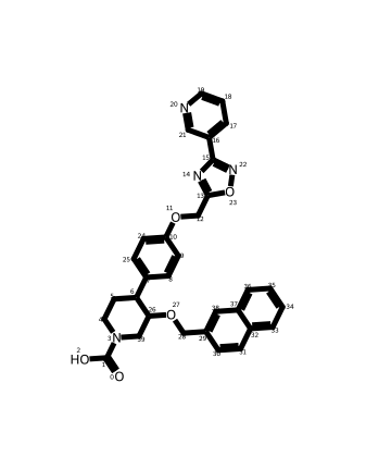 O=C(O)N1CCC(c2ccc(OCc3nc(-c4cccnc4)no3)cc2)C(OCc2ccc3ccccc3c2)C1